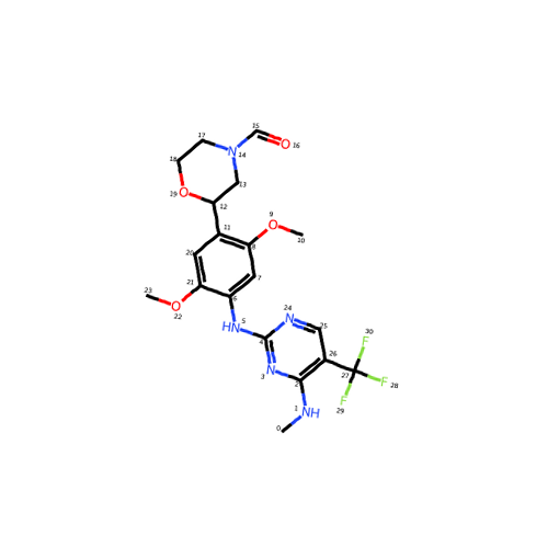 CNc1nc(Nc2cc(OC)c(C3CN(C=O)CCO3)cc2OC)ncc1C(F)(F)F